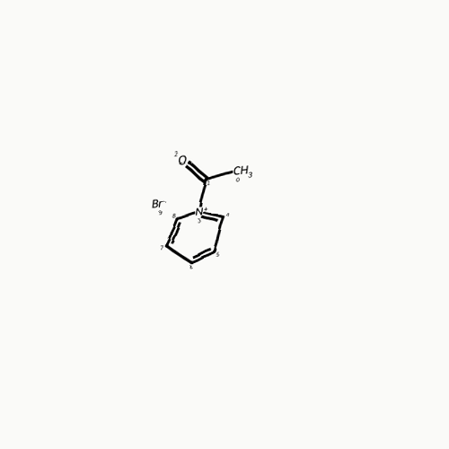 CC(=O)[n+]1ccccc1.[Br-]